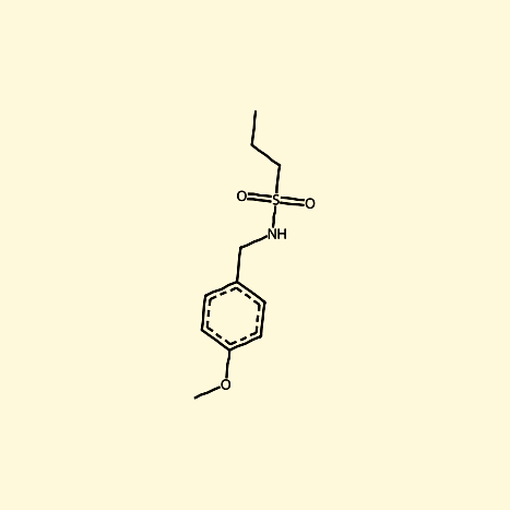 CCCS(=O)(=O)NCc1ccc(OC)cc1